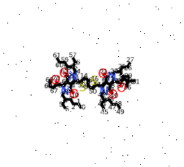 CCCCC(CC)CN1C(=O)C2=C(c3cc4sc(C5=C6C(=O)N(CC(CCC)CCCC)C(c7ccco7)=C6C(=O)N5CC(CC)CCCC)cc4s3)N(CC(CC)CCCC)C(=O)C2=C1c1ccco1